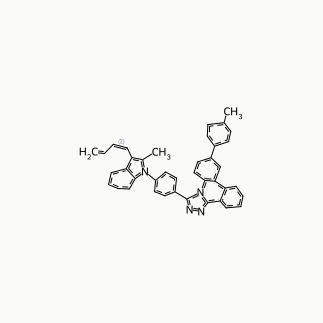 C=C/C=C\c1c(C)n(-c2ccc(-c3nnc4c5ccccc5c5cc(-c6ccc(C)cc6)ccc5n34)cc2)c2ccccc12